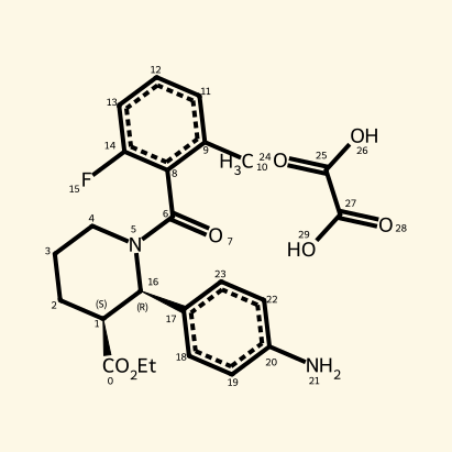 CCOC(=O)[C@H]1CCCN(C(=O)c2c(C)cccc2F)[C@H]1c1ccc(N)cc1.O=C(O)C(=O)O